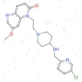 COc1cnc2ccc(=O)n(CCN3CCC(NCc4ccc(Cl)cn4)CC3)c2c1